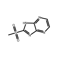 CS(=O)(=O)c1nc2nccnc2[nH]1